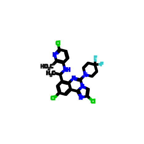 CC(Nc1ccc(Cl)nc1C(=O)O)c1cc(Cl)cc2c1nc(N1CCC(F)(F)CC1)n1cc(Cl)nc21